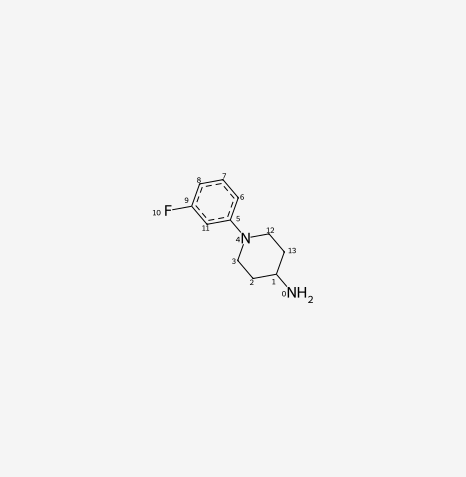 NC1CCN(c2cccc(F)c2)CC1